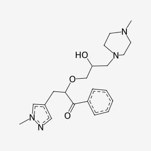 CN1CCN(CC(O)COC(Cc2cnn(C)c2)C(=O)c2ccccc2)CC1